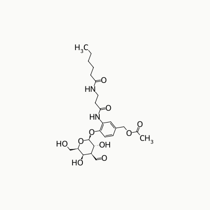 CCCCCC(=O)NCCC(=O)Nc1cc(COC(C)=O)ccc1O[C@@H]1O[C@H](CO)[C@H](O)[C@H](C=O)[C@H]1O